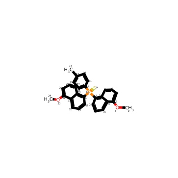 COc1cccc2c(P(=S)(c3ccc(C)cc3)c3cccc4c(OC)cccc34)cccc12